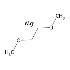 COCCOC.[Mg]